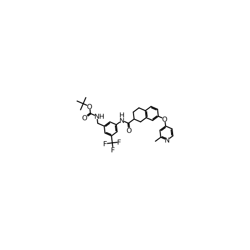 Cc1cc(Oc2ccc3c(c2)CC(C(=O)Nc2cc(CNC(=O)OC(C)(C)C)cc(C(F)(F)F)c2)CC3)ccn1